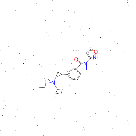 CCC(CC)N(C1CCC1)C1CC1c1cccc(C(=O)Nc2cc(C)on2)c1